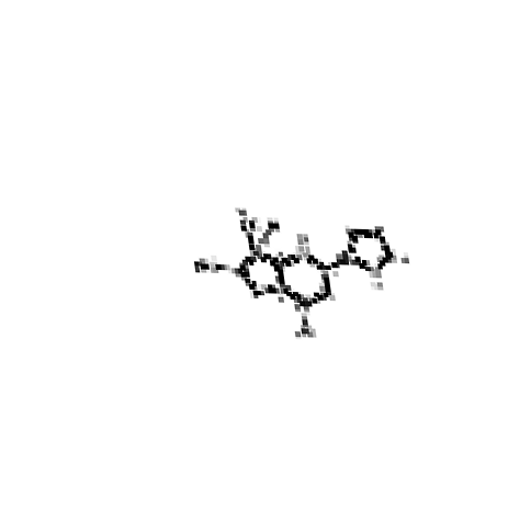 CC(C)(C)c1cc2c(Br)cc(-n3ccnn3)nc2n1C(=O)O